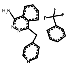 FC(F)(F)c1ccccc1.Nc1nnc(Cc2ccncc2)c2ccccc12